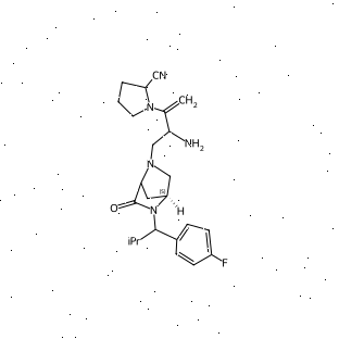 C=C(C(N)CN1C[C@@H]2CC1C(=O)N2C(c1ccc(F)cc1)C(C)C)N1CCCC1C#N